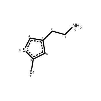 NCCc1csc(Br)c1